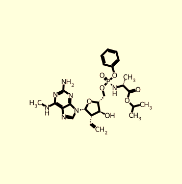 C=C[C@H]1[C@H](O)[C@@H](CO[P@](=O)(N[C@H](C)C(=O)OC(C)C)Oc2ccccc2)O[C@H]1n1cnc2c(NC)nc(N)nc21